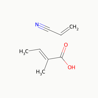 C/C=C(\C)C(=O)O.C=CC#N